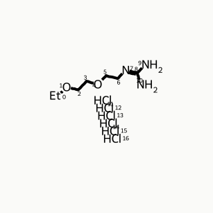 CCOCCOCCN=C(N)N.Cl.Cl.Cl.Cl.Cl.Cl